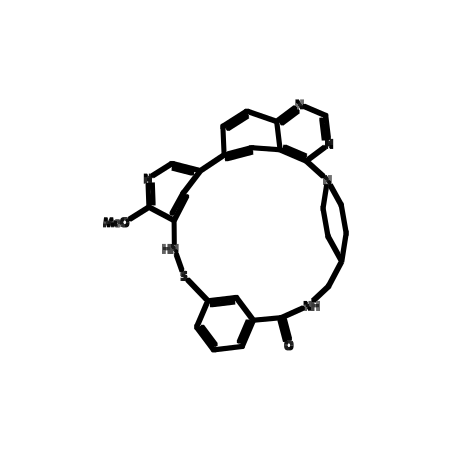 COc1ncc2cc1NSc1cccc(c1)C(=O)NCC1CCN(CC1)c1ncnc3ccc-2cc13